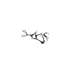 CC(C)c1nc2c(o1)CCS(=O)(=O)C2